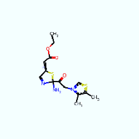 CCOC(=O)/C=C1/C=NC(N)(C(=O)C[n+]2csc(C)c2C)S1